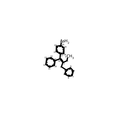 CCC(Cc1ccccc1)=C(c1ccccc1)c1ccc([AsH2])cc1